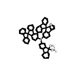 CC1(C)c2ccccc2-c2ccc(N(c3ccc4c(c3)-c3ccccc3C43c4ccccc4-c4ccccc43)c3ccc4c(c3)C3(c5ccccc5-c5ccccc53)c3occc3-4)cc21